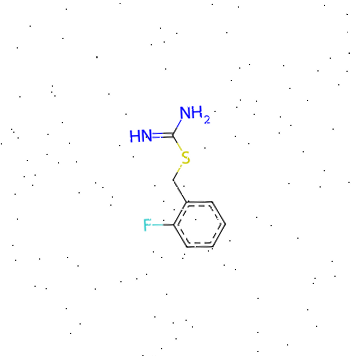 N=C(N)SCc1ccccc1F